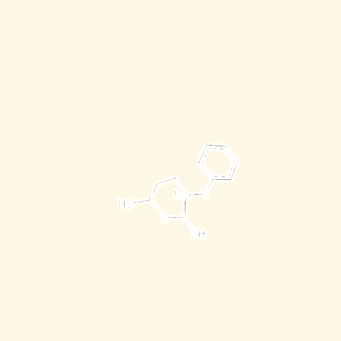 SP1CC[SH](Sc2ccccc2)P(S)S1